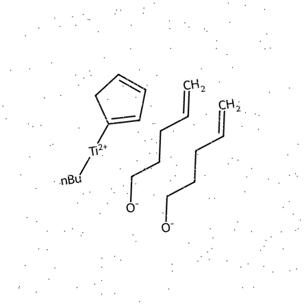 C=CCCC[O-].C=CCCC[O-].CCC[CH2][Ti+2][C]1=CC=CC1